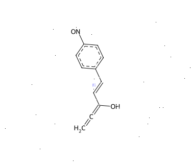 C=C=C(O)/C=C/c1ccc(N=O)cc1